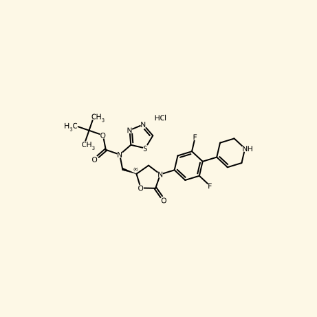 CC(C)(C)OC(=O)N(C[C@H]1CN(c2cc(F)c(C3=CCNCC3)c(F)c2)C(=O)O1)c1nncs1.Cl